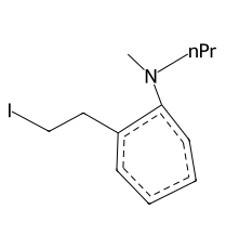 CCCN(C)c1ccccc1CCI